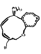 C=C1/C=C\C=C(\Br)COc2ccccc21